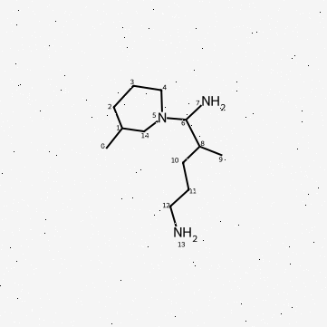 CC1CCCN(C(N)C(C)CCCN)C1